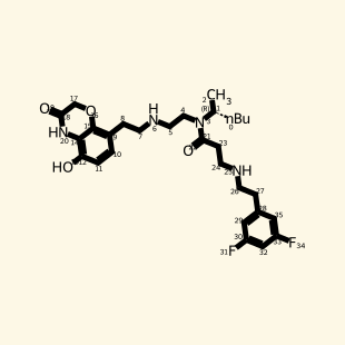 CCCC[C@@H](C)N(CCNCCc1ccc(O)c2c1OCC(=O)N2)C(=O)CCNCCc1cc(F)cc(F)c1